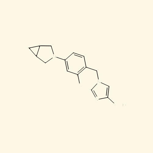 CCOC(=O)c1cn(Cc2ccc(N3CC4CC4C3)cc2Br)cn1